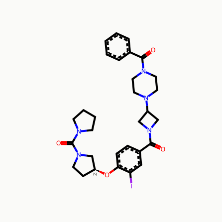 O=C(c1ccccc1)N1CCN(C2CN(C(=O)c3ccc(O[C@H]4CCN(C(=O)N5CCCC5)C4)c(I)c3)C2)CC1